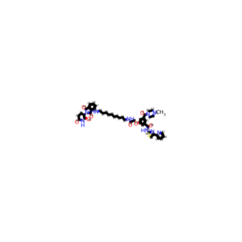 CN1CCN(C(=O)c2cc(OCC(=O)NCCCCCCCCCCNc3cccc4c3C(=O)N(C3CCC(=O)NC3=O)C4=O)cc(C(=O)Nc3nc(-c4ccccn4)cs3)c2)CC1